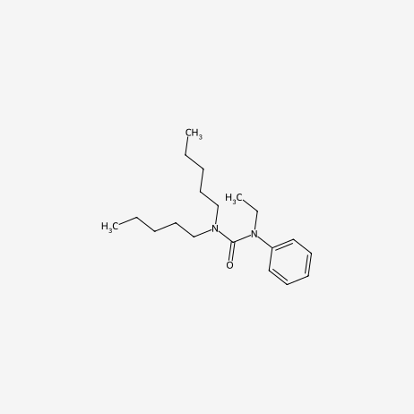 CCCCCN(CCCCC)C(=O)N(CC)c1ccccc1